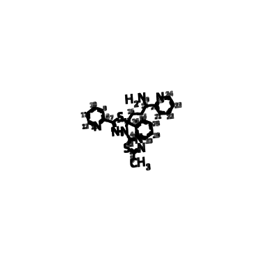 Cc1nnc(N2N=C(c3ccccn3)SC2(CCC(N)c2ccccn2)c2ccccc2)s1